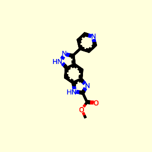 COC(=O)c1nc2cc3c(-c4ccncc4)n[nH]c3cc2[nH]1